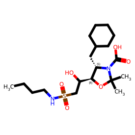 CCCCNS(=O)(=O)CC(O)[C@@H]1OC(C)(C)N(C(=O)O)[C@H]1CC1CCCCC1